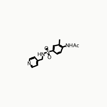 CC(=O)Nc1ccc(S(=O)(=O)NCc2ccncc2)cc1C